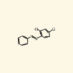 Clc1ccc(N=Nc2ccccc2)c(Cl)c1